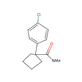 CNC(=O)C1(c2ccc(Cl)cc2)CCCC1